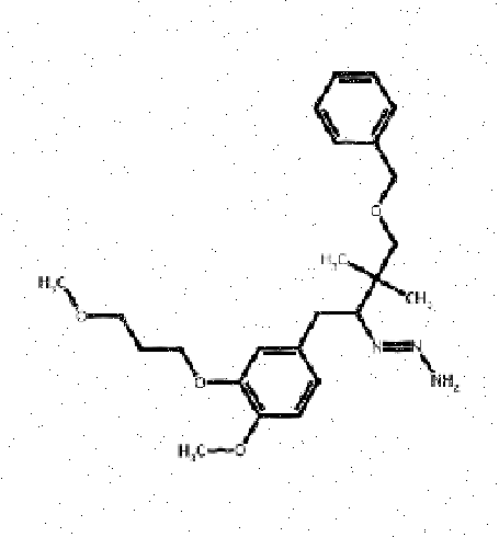 COCCCOc1cc(CC(N=NN)C(C)(C)COCc2ccccc2)ccc1OC